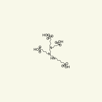 O=S(=O)(O)CCCCCNCCN(CCCCS(=O)(=O)O)CCN(CCCCS(=O)(=O)OO)CCCS(=O)(=O)O